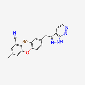 Cc1cc(C#N)cc(Oc2ccc(Cc3n[nH]c4nnccc34)cc2Br)c1